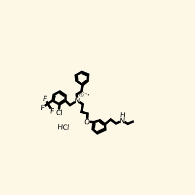 CCNCCc1cccc(OCCCN(Cc2cccc(C(F)(F)F)c2Cl)C[C@@H](C)c2ccccc2)c1.Cl